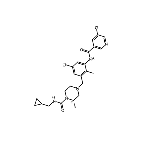 Cc1c(CN2CCN(C(=O)NCC3CC3)[C@@H](C)C2)cc(Cl)cc1NC(=O)c1cncc(Cl)c1